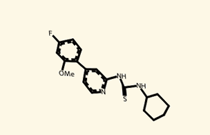 COc1cc(F)ccc1-c1ccnc(NC(=S)NC2CCCCC2)c1